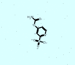 NC(=O)Oc1ccnc(S(=O)(=O)Cl)c1